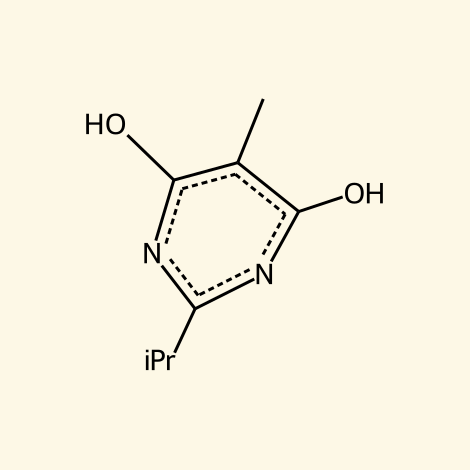 Cc1c(O)nc(C(C)C)nc1O